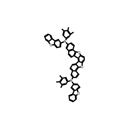 Cc1cc(N(c2ccc3c(ccc4c3oc3ccc5oc6c7ccc(N(c8cc(C)c(C)c(C)c8)c8ccc9oc%10ccccc%10c9c8)cc7ccc6c5c34)c2)c2ccc3oc4ccccc4c3c2)cc(C)c1C